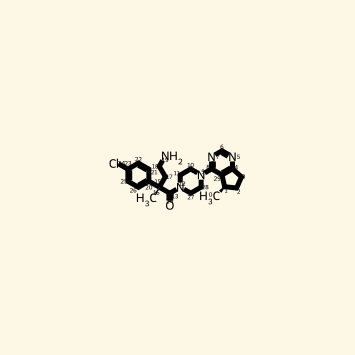 C[C@@H]1CCc2ncnc(N3CCN(C(=O)[C@](C)(CCN)c4ccc(Cl)cc4)CC3)c21